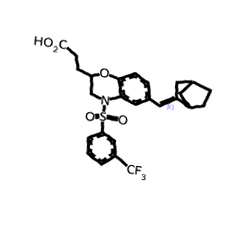 O=C(O)CCC1CN(S(=O)(=O)c2cccc(C(F)(F)F)c2)c2cc(/C=C3\CC4CCC3C4)ccc2O1